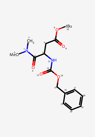 CON(C)C(=O)C(CC(=O)OC(C)(C)C)NC(=O)OCc1ccccc1